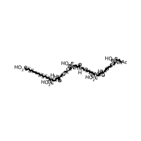 CC(=O)CCC(NC(=O)COCCOCCNC(=O)CCC(NC(=O)COCCOCCNC(=O)CC[C@H](NC(=O)COCCOCCNC(=O)CC[C@H](NC(=O)CCCCCCCCCCCCCCC(=O)O)C(=O)O)C(=O)O)C(=O)O)C(=O)O